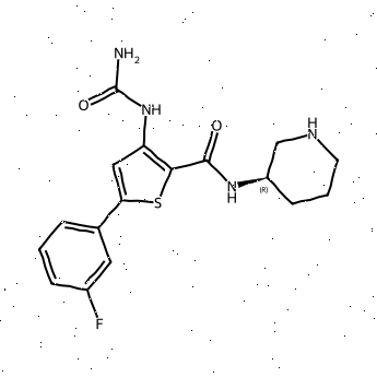 NC(=O)Nc1cc(-c2cccc(F)c2)sc1C(=O)N[C@@H]1CCCNC1